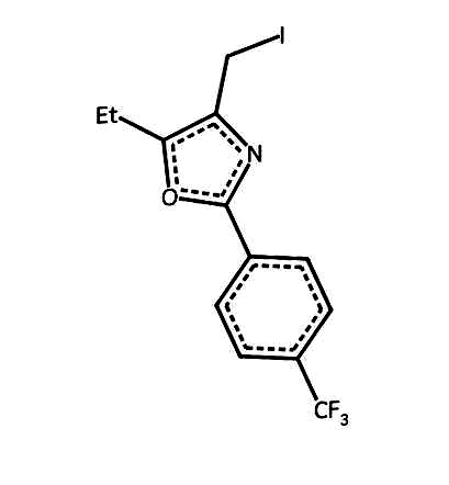 CCc1oc(-c2ccc(C(F)(F)F)cc2)nc1CI